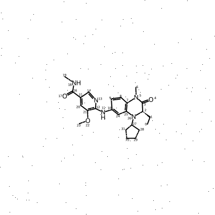 CC[C@@H]1C(=O)N(C)c2ccc(Nc3ncc(C(=O)NC)cc3OC)cc2N1C1CCCC1